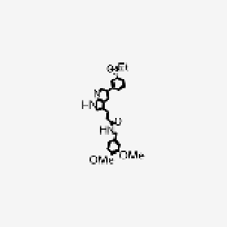 CC[S+]([O-])c1cccc(-c2cnc3[nH]cc(/C=C/C(=O)NCc4ccc(OC)c(OC)c4)c3c2)c1